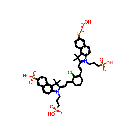 CC1(C)C(/C=C/C2=C(Cl)C(=C/C=C3/N(CCCS(=O)(=O)O)c4ccc5cc(S(=O)(=O)O)ccc5c4C3(C)C)/CCC2)=[N+](CCCS(=O)(=O)O)c2ccc3cc(SOOO)ccc3c21